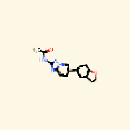 CC(=O)Nc1nc2ccc(-c3ccc4c(c3)CCO4)cn2n1